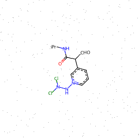 CC(C)NC(=O)C(C=O)c1ccc[n+](NN(Cl)Cl)c1